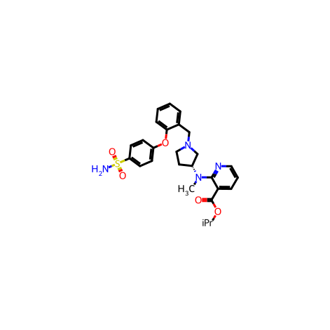 CC(C)OC(=O)c1cccnc1N(C)[C@@H]1CCN(Cc2ccccc2Oc2ccc(S(N)(=O)=O)cc2)C1